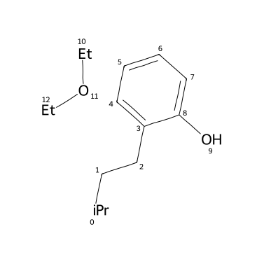 CC(C)CCc1ccccc1O.CCOCC